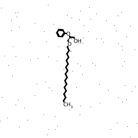 CCCCCCCCCCCCCCCCCCOC[C@H](CO)Oc1ccccc1